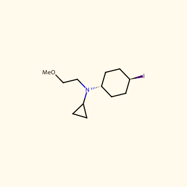 COCCN(C1CC1)[C@H]1CC[C@H](I)CC1